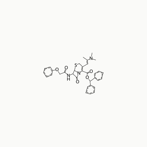 CC(=CC1=C(C(=O)OC(c2ccccc2)c2ccccc2)N2C(=O)C(NC(=O)COc3ccccc3)C2SC1)N(C)C